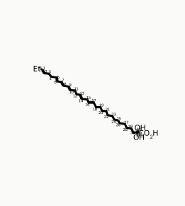 CCC=CCCC=CC=CC=CCCC=CCC=CCCCCCCCCCCCCCC(O)(O)C(=O)O